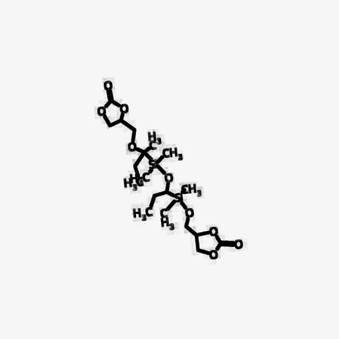 CCC(O[Si](C)(C)C(C)(CC)OCC1COC(=O)O1)[Si](C)(C)OCC1COC(=O)O1